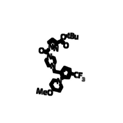 COC1CCN(c2cc(C(F)(F)F)ccc2CN2CCN(C(=O)n3ccc(C(=O)OC(C)(C)C)n3)CC2)CC1